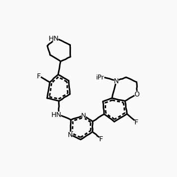 CC(C)N1CCOc2c(F)cc(-c3nc(Nc4ccc(C5CCNCC5)c(F)c4)ncc3F)cc21